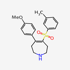 COc1ccc(C2=C(S(=O)(=O)c3cccc(C)c3)CCNCC2)cc1